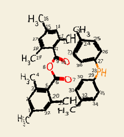 Cc1cc(C)c(C(=O)OC(=O)c2c(C)cc(C)cc2C)c(C)c1.Cc1ccc(Pc2ccc(C)cc2)cc1